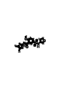 COc1ccc(S(=O)(=O)N[C@H]2CCOC2)cc1C(=O)Nc1nc(C)c(C)s1